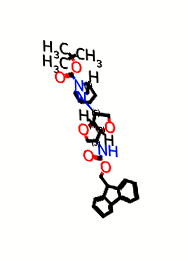 CC(C)(C)OC(=O)N1CC2CC[C@H]1CN2[C@H]1CO[C@H]2[C@@H]1OC[C@@H]2NC(=O)OCC1c2ccccc2-c2ccccc21